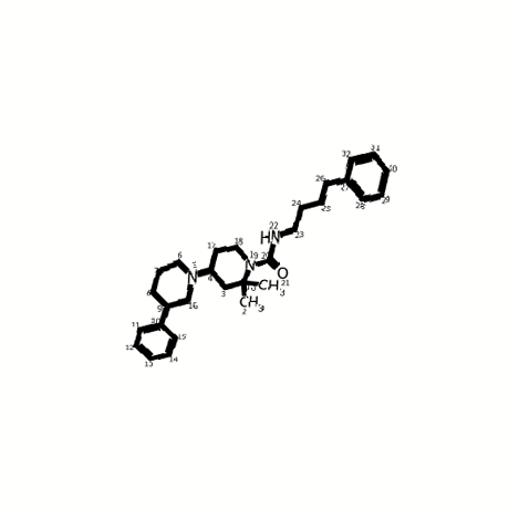 CC1(C)CC(N2CCCC(c3ccccc3)C2)CCN1C(=O)NCCCCc1ccccc1